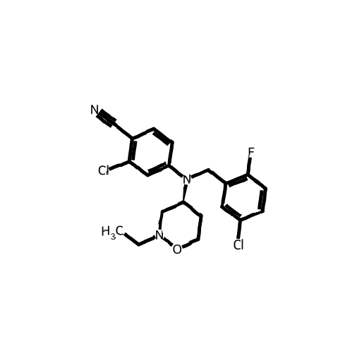 CCN1C[C@@H](N(Cc2cc(Cl)ccc2F)c2ccc(C#N)c(Cl)c2)CCO1